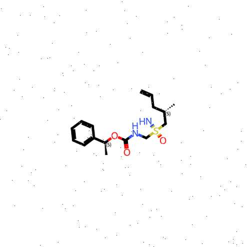 C=CC[C@H](C)CS(=N)(=O)CNC(=O)O[C@@H](C)c1ccccc1